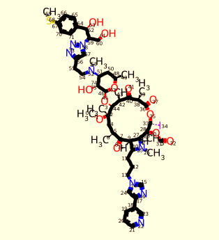 CO[C@]1(C)C[C@@H](C)C(=O)[C@@H]2C(CCCn3cnc(-c4cccnc4)c3)N(C)[C@@H]2[C@](C)(OC=O)[C@@H](I)OC(=O)[C@H](C)C(=O)[C@H](C)[C@H]1O[C@@H]1O[C@H](C)C[C@H](N(C)CCc2cn(C(CO)[C@@H](O)c3ccc(SC)cc3)nn2)[C@H]1O